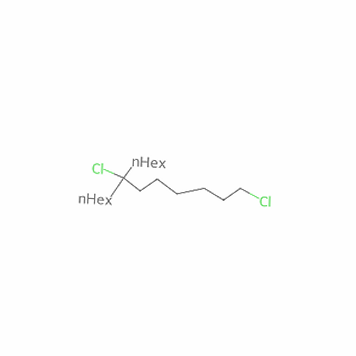 CCCCCCC(Cl)(CCCCCC)CCCCCCCl